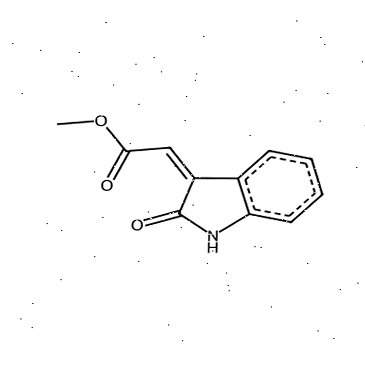 COC(=O)C=C1C(=O)Nc2ccccc21